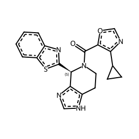 O=C(c1ocnc1C1CC1)N1CCc2[nH]cnc2[C@H]1c1nc2ccccc2s1